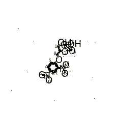 O=[N+]([O-])c1ccc(OCC(CO)OS(=O)(=O)O)c([N+](=O)[O-])c1